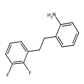 Nc1ccccc1CCc1cccc(F)c1F